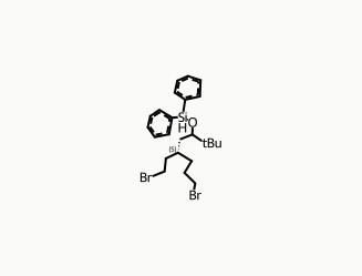 CC(C)(C)C(C[C@@H](CCBr)CCCBr)O[SiH](c1ccccc1)c1ccccc1